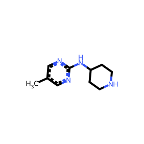 Cc1cnc(NC2CCNCC2)nc1